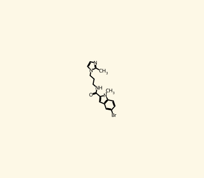 Cc1nccn1CCCNC(=O)c1cc2cc(Br)ccc2n1C